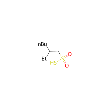 CCCCC(CC)CS(=O)(=O)S